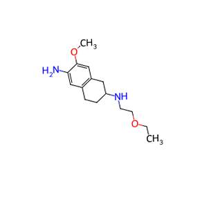 CCOCCNC1CCc2cc(N)c(OC)cc2C1